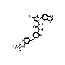 CC(C)c1cc(NC(=O)Nc2ccc(Oc3ccnc(NS(C)(=O)=O)c3)cc2F)n(-c2ccc3ocnc3c2)n1